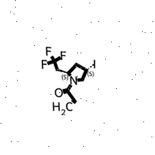 C=CC(=O)N1C[C@@H](I)C[C@@H]1CC(F)(F)F